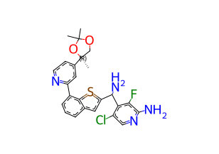 CC1(C)OC[C@@](C)(c2ccnc(-c3cccc4cc(C(N)c5c(Cl)cnc(N)c5F)sc34)c2)O1